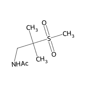 CC(=O)NCC(C)(C)S(C)(=O)=O